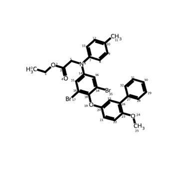 CCOC(=O)CN(c1ccc(C)cc1)c1cc(Br)c(Oc2ccc(OC)c(-c3ccccc3)c2)c(Br)c1